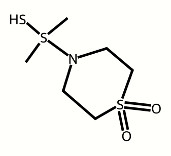 CS(C)(S)N1CCS(=O)(=O)CC1